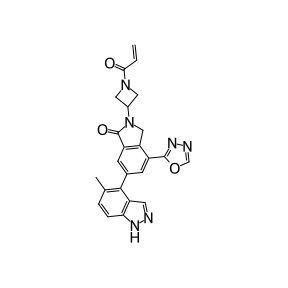 C=CC(=O)N1CC(N2Cc3c(cc(-c4c(C)ccc5[nH]ncc45)cc3-c3nnco3)C2=O)C1